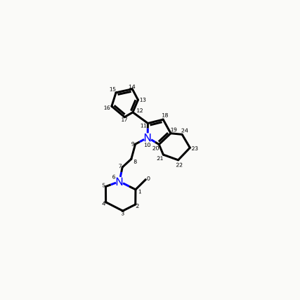 CC1CCCCN1CCCn1c(-c2ccccc2)cc2c1CCCC2